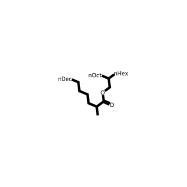 CCCCCCCCCCCCCCC(C)C(=O)OCC(CCCCCC)CCCCCCCC